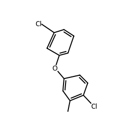 Cc1cc(Oc2cccc(Cl)c2)ccc1Cl